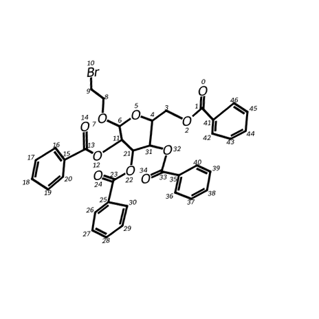 O=C(OCC1OC(OCCBr)C(OC(=O)c2ccccc2)C(OC(=O)c2ccccc2)C1OC(=O)c1ccccc1)c1ccccc1